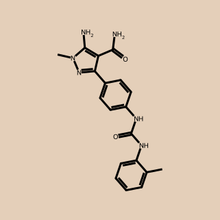 Cc1ccccc1NC(=O)Nc1ccc(-c2nn(C)c(N)c2C(N)=O)cc1